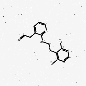 O=CCc1cccnc1NCCc1c(Cl)cccc1Cl